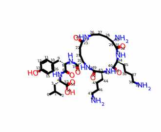 CC(C)C[C@H](NC(=O)[C@H](Cc1ccc(O)cc1)NC(=O)[C@@H]1CCC(=O)NCCC[C@H](N)C(=O)N[C@@H](CCCCN)C(=O)N[C@@H](CCCCN)C(=O)N1)C(=O)O